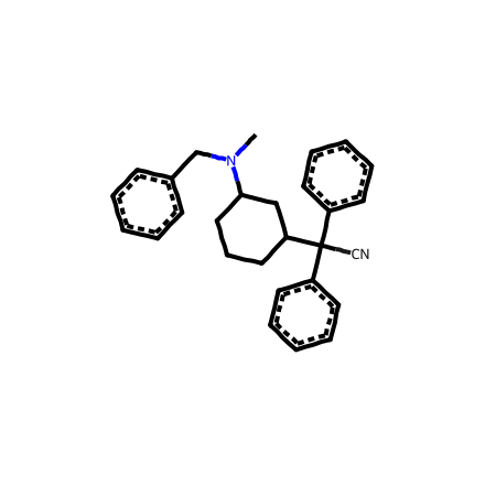 CN(Cc1ccccc1)C1CCCC(C(C#N)(c2ccccc2)c2ccccc2)C1